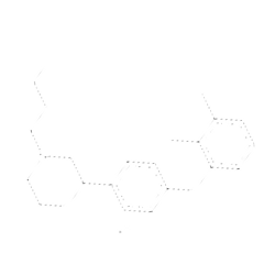 Cc1cccc(Oc2ccc(C3CN(CCCC(=O)O)CCO3)cc2)c1C.Cl